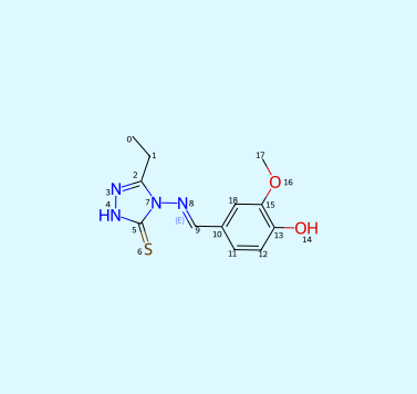 CCc1n[nH]c(=S)n1/N=C/c1ccc(O)c(OC)c1